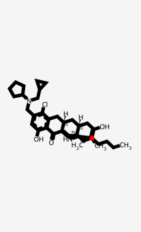 C=C1C(C)=C(O)C[C@@H]2C[C@@H]3Cc4c(Cl)c(CN(CC5CC5)C5CCCC5)cc(O)c4C(=O)C3=C3ONCC(CCCCC)[C@]132